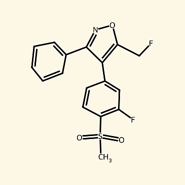 CS(=O)(=O)c1ccc(-c2c(-c3ccccc3)noc2CF)cc1F